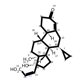 C[C@]12CC[C@H]3[C@@H]([C@@H](C4CC4)CC4=CC(=O)CC[C@@H]43)[C@@H]1CC[C@@]2(O)/C=C\C(=O)O